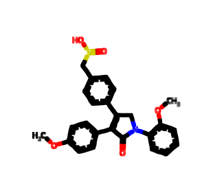 COc1ccc(C2=C(c3ccc(CS(=O)O)cc3)CN(c3ccccc3OC)C2=O)cc1